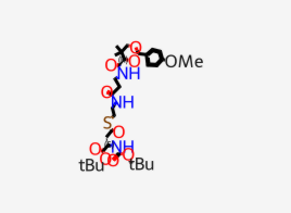 COc1ccc(C2OCC(C)(C)[C@H](C(=O)NCCC(=O)NCCSC(=O)C[C@H](NC(=O)OC(C)(C)C)C(=O)OC(C)(C)C)O2)cc1